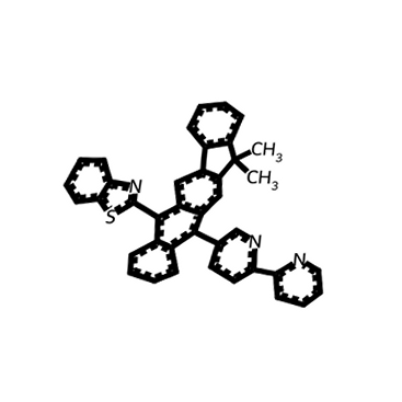 CC1(C)c2ccccc2-c2cc3c(-c4nc5ccccc5s4)c4ccccc4c(-c4ccc(-c5ccccn5)nc4)c3cc21